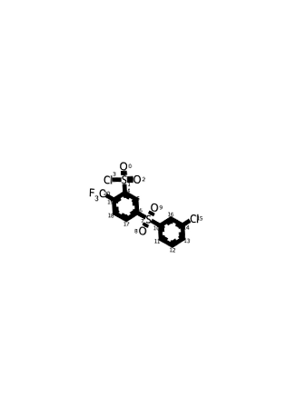 O=S(=O)(Cl)c1cc(S(=O)(=O)c2cccc(Cl)c2)ccc1C(F)(F)F